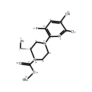 CC(C)C[C@@H]1CN(c2nc(Cl)c(C#N)cc2F)CCN1C(=O)OC(C)(C)C